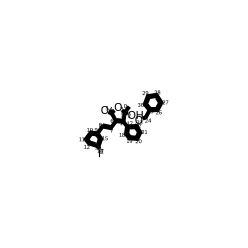 CC1(O)OC(=O)C(/C=C/c2cccc(F)c2)=C1c1ccccc1OCc1ccccc1